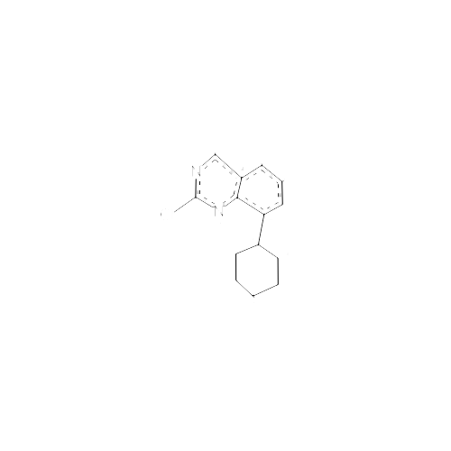 Clc1ncc2cccc(C3CCCCC3)c2n1